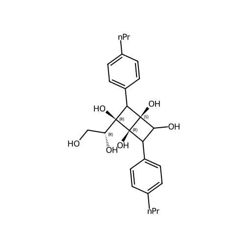 CCCc1ccc(C2C(O)[C@@]3(O)C(c4ccc(CCC)cc4)[C@@](O)([C@H](O)CO)[C@@]23O)cc1